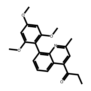 CCC(=O)c1cc(C)nc2c(-c3c(OC)cc(OC)cc3OC)cccc12